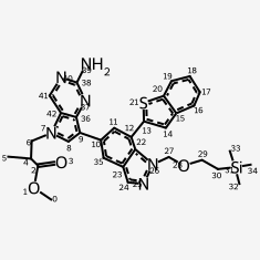 COC(=O)C(C)Cn1cc(-c2cc(-c3cc4ccccc4s3)c3c(cnn3COCC[Si](C)(C)C)c2)c2nc(N)ncc21